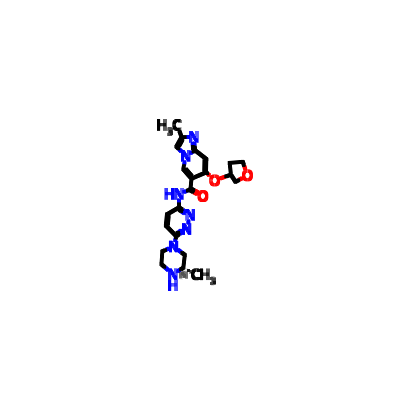 Cc1cn2cc(C(=O)Nc3ccc(N4CCN[C@@H](C)C4)nn3)c(OC3CCOC3)cc2n1